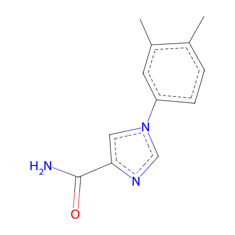 Cc1ccc(-n2cnc(C(N)=O)c2)cc1C